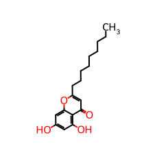 CCCCCCCCCc1cc(=O)c2c(O)cc(O)cc2o1